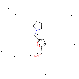 OCc1ccc(CN2CCCC2)o1